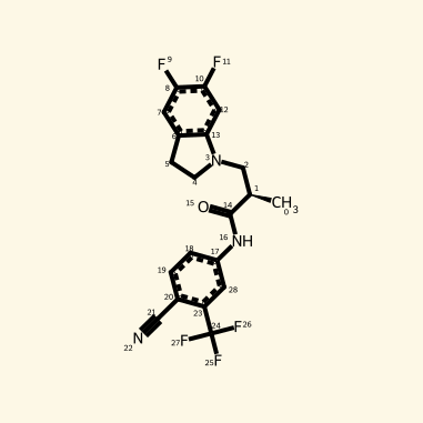 C[C@H](CN1CCc2cc(F)c(F)cc21)C(=O)Nc1ccc(C#N)c(C(F)(F)F)c1